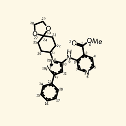 COC(=O)c1ccncc1Nc1cc(-c2ccccc2)nn1C1CCC2(CC1)OCCO2